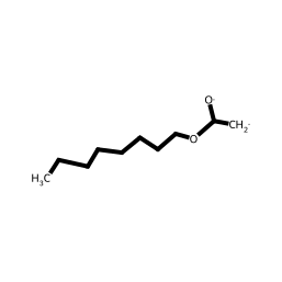 [CH2]C([O])OCCCCCCCC